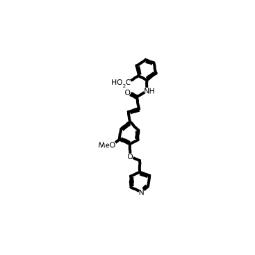 COc1cc(/C=C/C(=O)Nc2ccccc2C(=O)O)ccc1OCc1ccncc1